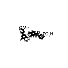 COc1ccc(-c2cc(C)c3ncnc(N4CCc5ccc(C(=O)N[C@@H]6CCCN(C(=O)O)C6)cc5C4)c3c2)cn1